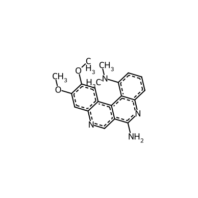 COc1cc2ncc3c(N)nc4cccc(N(C)C)c4c3c2cc1OC